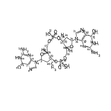 C[C@]12CC(n3cnc4c(=O)[nH]c(N)nc43)O[C@@H]1COP(=O)(S)O[C@H]1CC(n3cnc4c3N=C(N)NC4O)O[C@@H]1COP(=O)(S)O2